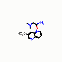 CN(C)CC(N)=O.O=C(O)c1cnc2cccnc2c1